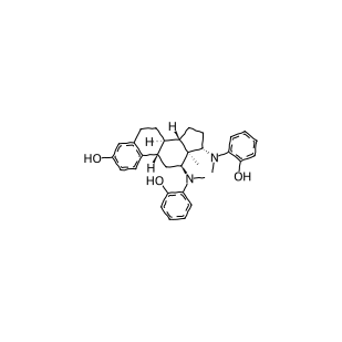 CN(c1ccccc1O)[C@H]1CC[C@H]2[C@@H]3CCc4cc(O)ccc4[C@H]3C[C@H](N(C)c3ccccc3O)[C@]12C